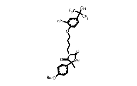 CCCc1cc(C(O)(C(F)(F)F)C(F)(F)F)ccc1OCCCCN1C(=O)NC(C)(c2ccc(OCC(C)C)cc2)C1=O